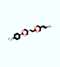 CCC/C=C/C1COC(CC[C@H]2CO[C@H](c3ccc(C(F)(F)F)cc3)OC2)OC1